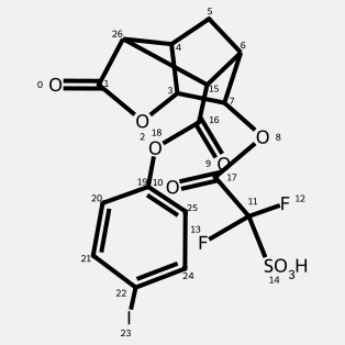 O=C1OC2C3CC(C2OC(=O)C(F)(F)S(=O)(=O)O)C(C(=O)Oc2ccc(I)cc2)C13